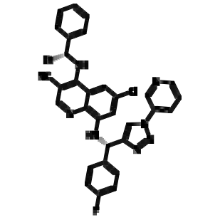 CC[C@@H](Nc1c(C#N)cnc2c(N[C@@H](c3ccc(F)cc3)c3cn(-c4cccnc4)nn3)cc(Cl)cc12)c1ccccc1